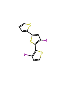 Ic1ccsc1-c1sc(-c2cccs2)cc1I